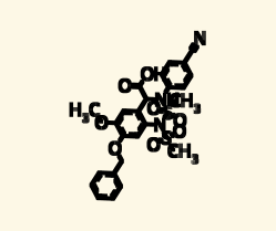 COc1cc(C(Nc2ccc(C#N)cc2)C(=O)O)c(N(S(C)(=O)=O)S(C)(=O)=O)cc1OCc1ccccc1